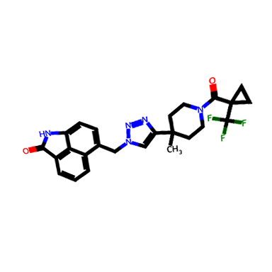 CC1(c2cn(Cc3ccc4c5c(cccc35)C(=O)N4)nn2)CCN(C(=O)C2(C(F)(F)F)CC2)CC1